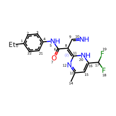 CCc1ccc(NC(=O)/C(C=N)=C2\N=C(C)C=C(C(F)F)N2)cc1